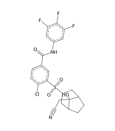 N#CCC1(O)C2CCC1CC(S(=O)(=O)c1cc(C(=O)Nc3cc(F)c(F)c(F)c3)ccc1Cl)C2